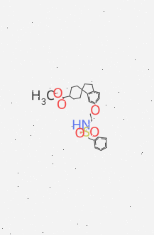 COC(=O)C1CCC2(CCc3ccc(OCCNS(=O)(=O)Cc4ccccc4)cc32)CC1